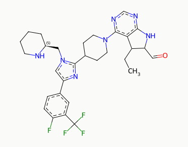 CCC1c2c(ncnc2N2CCC(c3nc(-c4ccc(F)c(C(F)(F)F)c4)cn3C[C@@H]3CCCCN3)CC2)NC1C=O